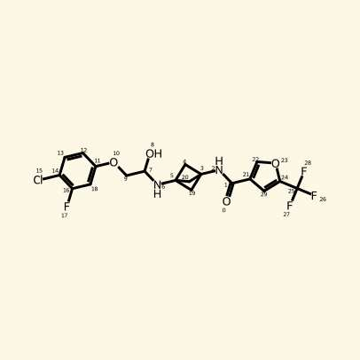 O=C(NC12CC(NC(O)COc3ccc(Cl)c(F)c3)(C1)C2)c1coc(C(F)(F)F)c1